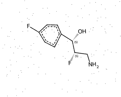 NC[C@H](F)[C@@H](O)c1ccc(F)cc1